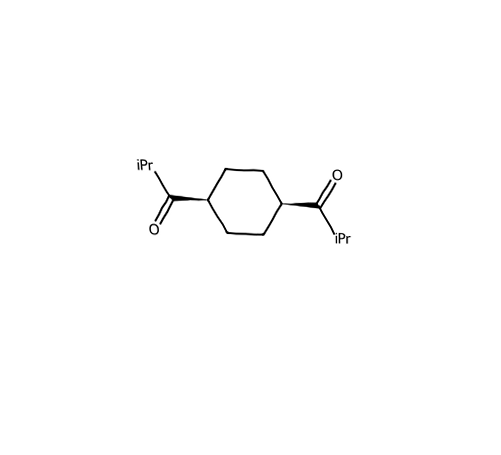 CC(C)C(=O)[C@H]1CC[C@@H](C(=O)C(C)C)CC1